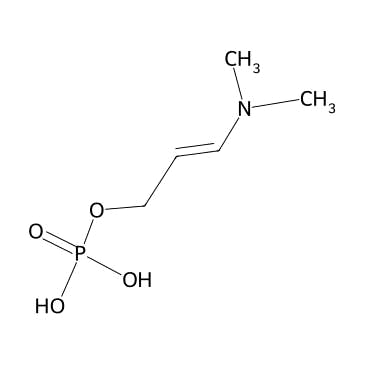 CN(C)C=CCOP(=O)(O)O